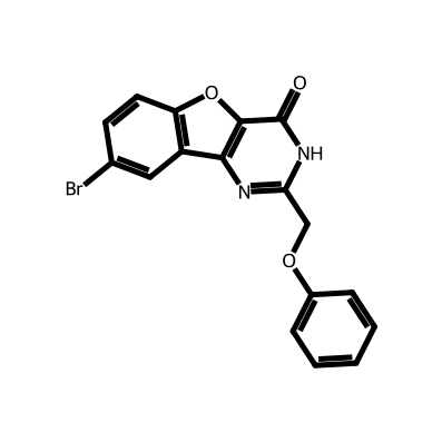 O=c1[nH]c(COc2ccccc2)nc2c1oc1ccc(Br)cc12